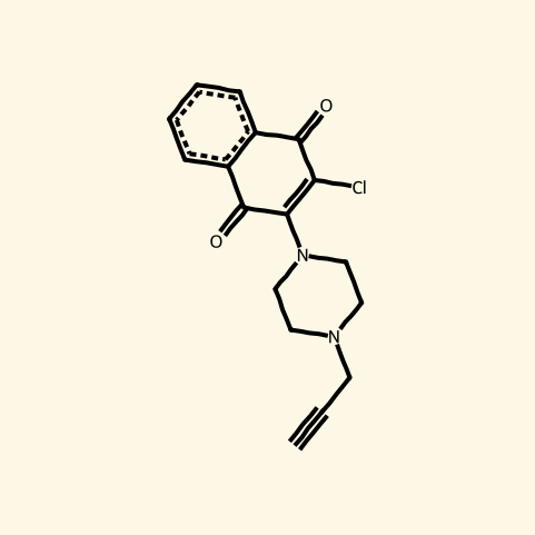 C#CCN1CCN(C2=C(Cl)C(=O)c3ccccc3C2=O)CC1